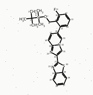 CC(C)(C)[Si](C)(C)OCc1c(F)cccc1-c1ccc2nc(-c3nc4ccccc4s3)cn2c1